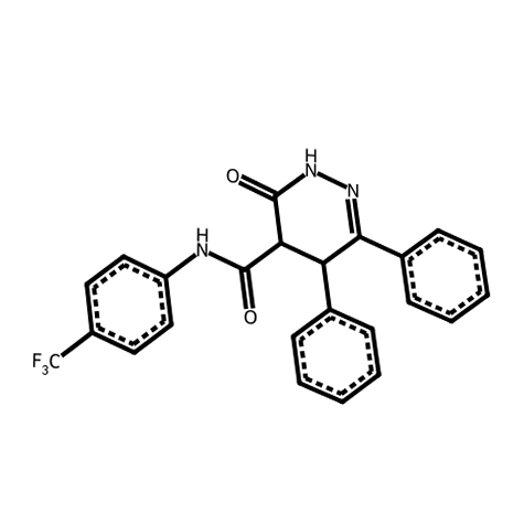 O=C1NN=C(c2ccccc2)C(c2ccccc2)C1C(=O)Nc1ccc(C(F)(F)F)cc1